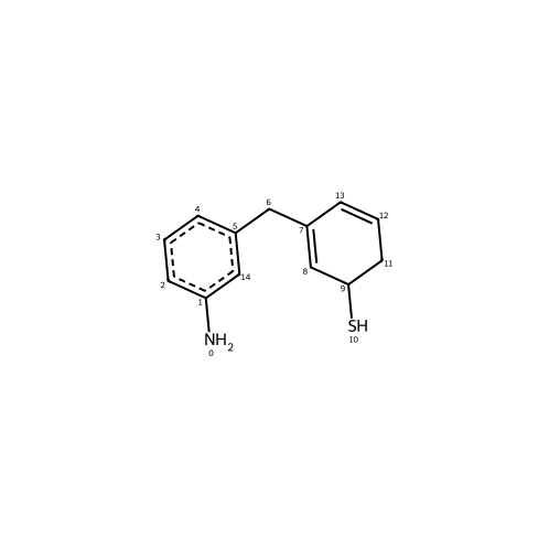 Nc1cccc(CC2=CC(S)CC=C2)c1